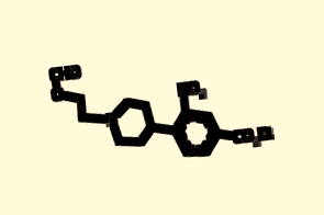 CCOC(=O)c1ccc(C2CCN(CCOC=O)CC2)c([N+](=O)[O-])c1